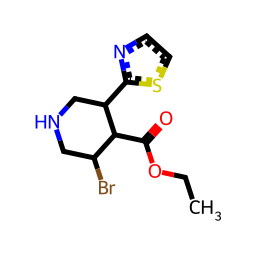 CCOC(=O)C1C(Br)CNCC1c1nccs1